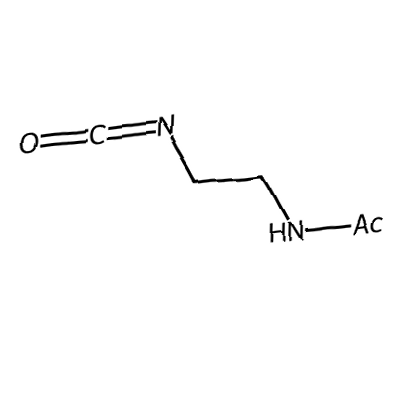 CC(=O)NCCN=C=O